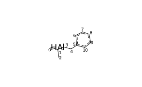 C[CH](C)[AlH][CH2]c1ccccc1